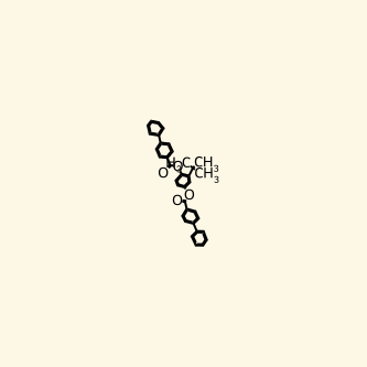 CC(C)(C)c1cc(OC(=O)c2ccc(-c3ccccc3)cc2)ccc1OC(=O)c1ccc(-c2ccccc2)cc1